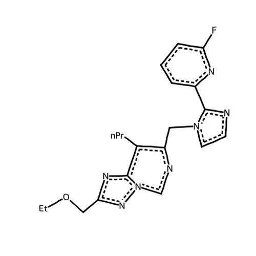 CCCc1c(Cn2ccnc2-c2cccc(F)n2)ncn2nc(COCC)nc12